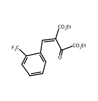 CCOC(=O)C(=O)C(=Cc1ccccc1C(F)(F)F)C(=O)OCC